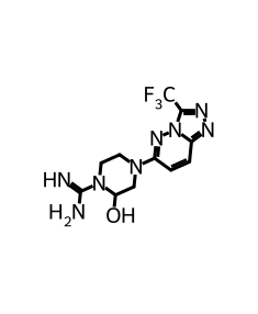 N=C(N)N1CCN(c2ccc3nnc(C(F)(F)F)n3n2)CC1O